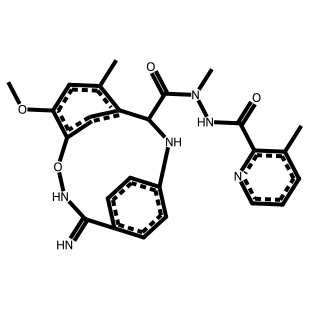 COc1cc(C)c2cc1ONC(=N)c1ccc(cc1)NC2C(=O)N(C)NC(=O)c1ncccc1C